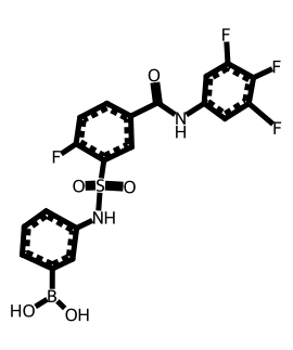 O=C(Nc1cc(F)c(F)c(F)c1)c1ccc(F)c(S(=O)(=O)Nc2cccc(B(O)O)c2)c1